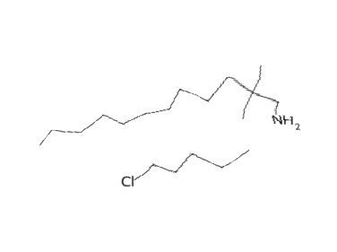 CCCCCCCCCCC(C)(C)CN.CCCCCCl